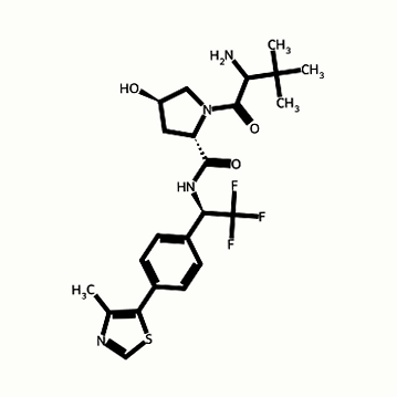 Cc1ncsc1-c1ccc([C@@H](NC(=O)[C@@H]2C[C@@H](O)CN2C(=O)C(N)C(C)(C)C)C(F)(F)F)cc1